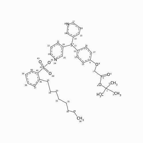 CC(C)(C)OC(=O)COc1ccc([S+](c2cccnc2)c2cccnc2)cc1.CCCCCCCCc1ccccc1S(=O)(=O)[O-]